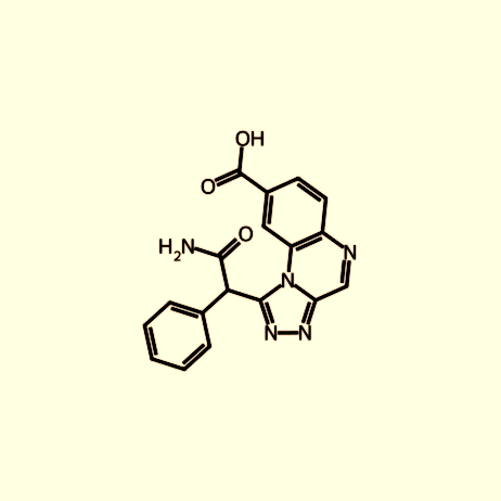 NC(=O)C(c1ccccc1)c1nnc2cnc3ccc(C(=O)O)cc3n12